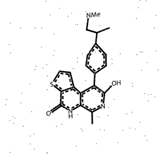 CNCC(C)c1ccc(-c2c(O)nc(C)c3[nH]c(=O)c4sccc4c23)cc1